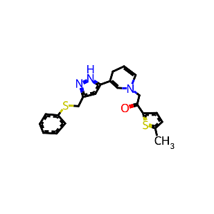 Cc1ccc(C(=O)CN2C=CCC(c3cc(CSc4ccccc4)n[nH]3)=C2)s1